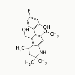 COc1cc2c(c(CO)c1-c1ccc(F)cc1O)C(C)=CC(C)(C)N2